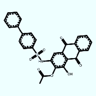 CC(=O)Oc1c(NS(=O)(=O)c2ccc(-c3ccccc3)cc2)cc2c(c1O)C(=O)c1ccccc1C2=O